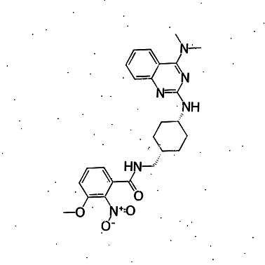 COc1cccc(C(=O)NC[C@H]2CC[C@@H](Nc3nc(N(C)C)c4ccccc4n3)CC2)c1[N+](=O)[O-]